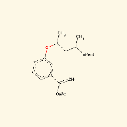 [CH]=C(OC)c1cc[c]c(OC(C)CC(C)CCCCC)c1